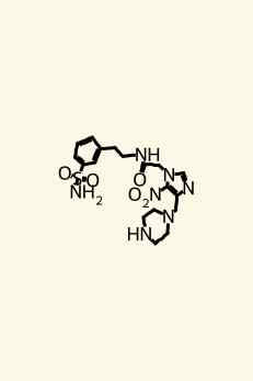 NS(=O)(=O)c1cccc(CCNC(=O)Cn2cnc(CN3CCNCC3)c2[N+](=O)[O-])c1